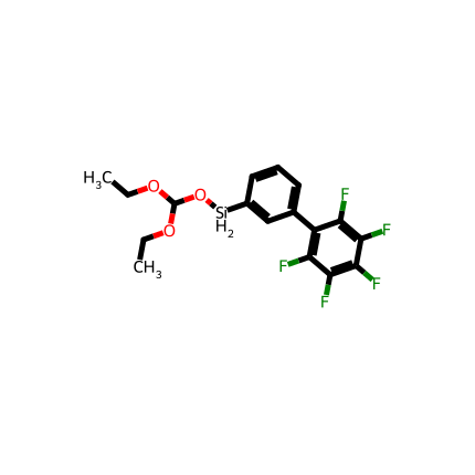 CCOC(OCC)O[SiH2]c1cccc(-c2c(F)c(F)c(F)c(F)c2F)c1